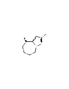 Cc1cc2n(n1)CCCCC2=O